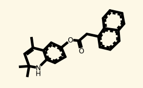 CC1=CC(C)(C)Nc2ccc(OC(=O)Cc3cccc4ccccc34)cc21